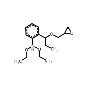 CCO[SiH](OCC)c1ccccc1C(CC)OCC1CO1